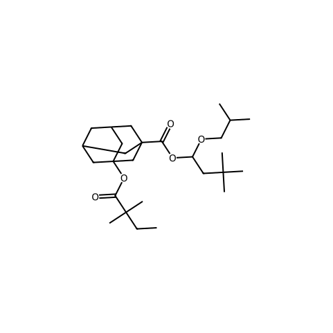 CCC(C)(C)C(=O)OC12CC3CC(C1)CC(C(=O)OC(CC(C)(C)C)OCC(C)C)(C3)C2